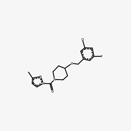 Cc1ccn(C(=O)N2CCC(OCc3cc(F)cc(Cl)c3)CC2)n1